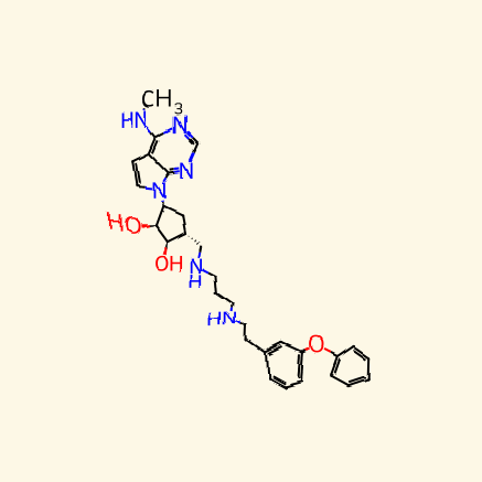 CNc1ncnc2c1ccn2[C@@H]1C[C@H](CNCCCNCCc2cccc(Oc3ccccc3)c2)[C@@H](O)[C@H]1O